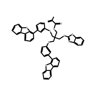 C=C(C)C(=O)OCC(CSc1cccc(-c2cccc3c2sc2ccccc23)c1)(CSc1cccc(-c2cccc3c2sc2ccccc23)c1)CSc1nc2ccccc2s1